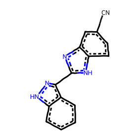 N#Cc1ccc2[nH]c(-c3n[nH]c4ccccc34)nc2c1